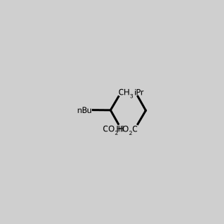 CC(C)CC(=O)O.CCCCC(C)C(=O)O